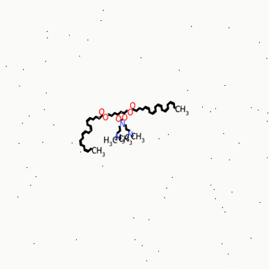 CC/C=C\C/C=C\C/C=C\C/C=C\C/C=C\CCCC(=O)OCCCC(CCCOC(=O)CCC/C=C\C/C=C\C/C=C\C/C=C\C/C=C\CC)OC(=O)N(CCCN(C)C)CCCN(C)C